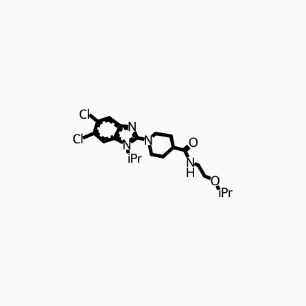 CC(C)OCCNC(=O)C1CCN(c2nc3cc(Cl)c(Cl)cc3n2C(C)C)CC1